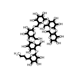 CCCCC1OC(OC2C(CO)OC(OC3C(CO)OC(OCC4OC(OC5C(CO)OC(OC6C(CO)OC(O)C(O)C6O)C(O)C5O)C(O)C(O)C4O)C(O)C3O)C(O)C2O)C(O)C(O)C1O